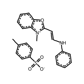 C[n+]1c(/C=C/Nc2ccccc2)oc2ccccc21.Cc1ccc(S(=O)(=O)[O-])cc1